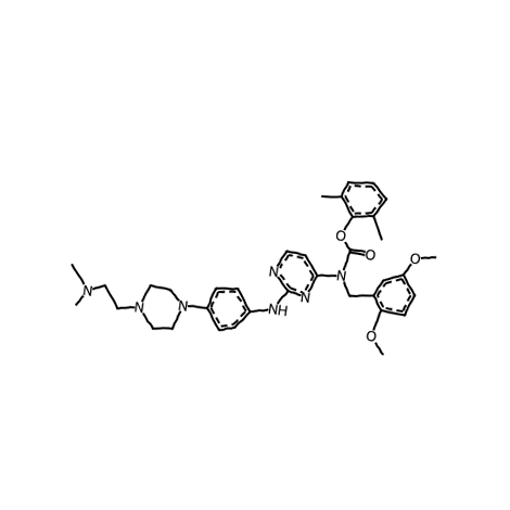 COc1ccc(OC)c(CN(C(=O)Oc2c(C)cccc2C)c2ccnc(Nc3ccc(N4CCN(CCN(C)C)CC4)cc3)n2)c1